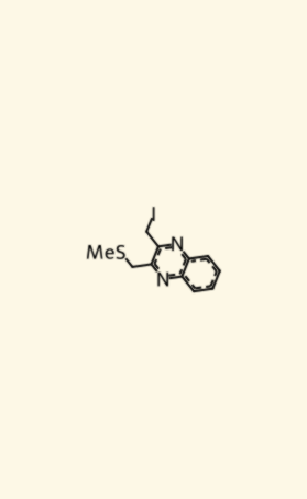 CSCc1nc2ccccc2nc1CI